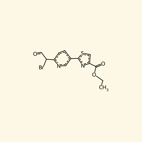 CCOC(=O)c1csc(-c2ccc(C(Br)C=O)nc2)n1